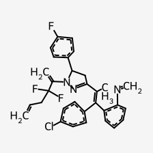 C=CCC(F)(F)C(=C)N1N=C(/C(C)=C(\c2ccc(Cl)cc2)c2ccccc2N=C)CC1c1ccc(F)cc1